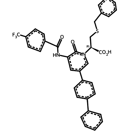 O=C(Nc1cc(-c2ccc(-c3ccccc3)cc2)cn([C@@H](CSCc2ccccc2)C(=O)O)c1=O)c1ccc(C(F)(F)F)cc1